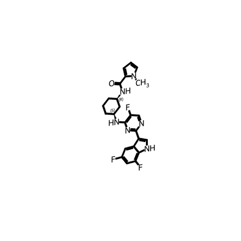 Cn1cccc1C(=O)N[C@@H]1CCC[C@H](Nc2nc(-c3c[nH]c4c(F)cc(F)cc34)ncc2F)C1